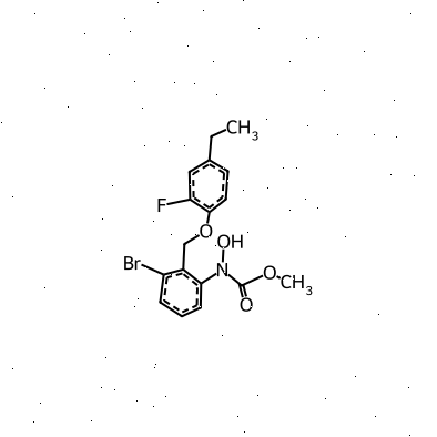 CCc1ccc(OCc2c(Br)cccc2N(O)C(=O)OC)c(F)c1